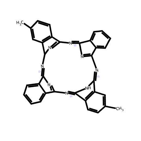 Cc1ccc2c(c1)C1N=C2/N=C2N=C(/N=c3\[nH]/c(c4ccc(C)cc34)=N\C3=NC(=N\1)/c1ccccc13)c1ccccc1\2